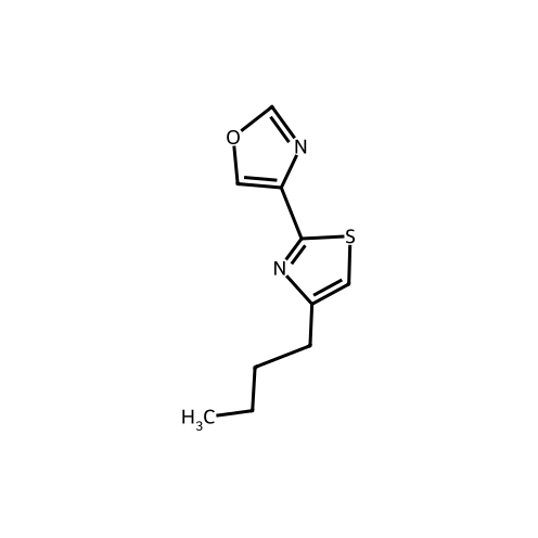 CCCCc1csc(-c2cocn2)n1